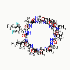 CCC[C@H]1C(=O)N[C@@H]([C@@H](C)CC)C(=O)N(C)CC(=O)N(C)[C@H]2C/C=C\CCN(C2=O)[C@@H](Cc2ccc(C(F)(F)F)cc2)C(=O)N(C)CC(=O)NC(CCc2cc(F)c(C(F)(F)F)c(F)c2)C(=O)N2CC3(CC3)C[C@H]2C(=O)NC2(CCC2)C(=O)N(C)[C@@H](CC(C)(C)C)C(=O)N(C)[C@H](C(=O)N(C)C)CC(=O)N1C